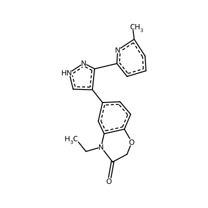 CCN1C(=O)COc2ccc(-c3c[nH]nc3-c3cccc(C)n3)cc21